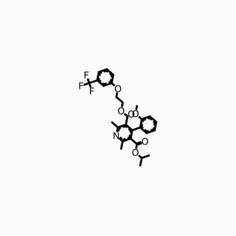 COc1ccccc1-c1c(C(=O)OCCOc2cccc(C(F)(F)F)c2)c(C)nc(C)c1C(=O)OC(C)C